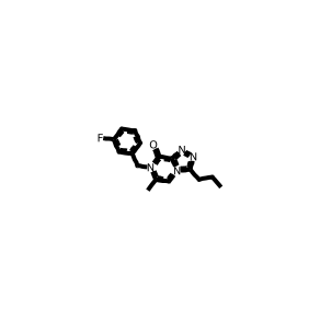 CCCc1nnc2c(=O)n(Cc3cccc(F)c3)c(C)cn12